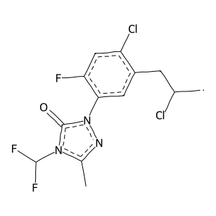 [CH2]C(Cl)Cc1cc(-n2nc(C)n(C(F)F)c2=O)c(F)cc1Cl